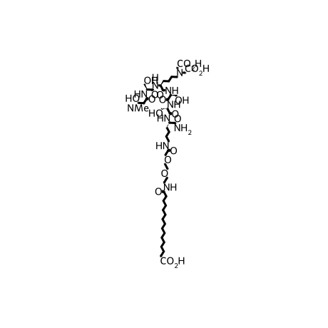 CN[C@@H](CO)C(=O)N[C@@H](CO)C(=O)N[C@@H](CCCCN(CC(=O)O)CC(=O)O)C(=O)N[C@@H](CO)C(=O)N[C@@H](CO)C(=O)N[C@@H](CCCCNC(=O)COCCOCCNC(=O)CCCCCCCCCCCCCCC(=O)O)C(N)=O